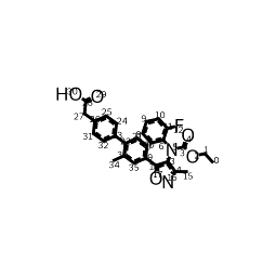 CCOC(=O)N(c1ccccc1F)c1c(C)noc1-c1ccc(-c2ccc(CC(=O)O)cc2)c(C)c1